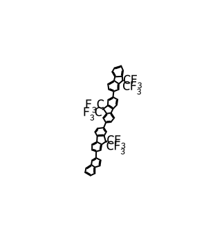 FC(F)(F)C1(C(F)(F)F)c2ccccc2-c2ccc(-c3ccc4c(c3)C(C(F)(F)F)(C(F)(F)F)c3cc(-c5ccc6c(c5)C(C(F)(F)F)(C(F)(F)F)c5cc(-c7ccc8ccccc8c7)ccc5-6)ccc3-4)cc21